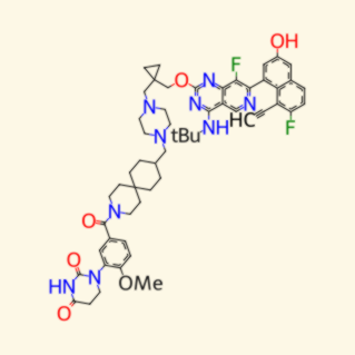 C#Cc1c(F)ccc2cc(O)cc(-c3ncc4c(NC(C)(C)C)nc(OCC5(CN6CCN(CC7CCC8(CC7)CCN(C(=O)c7ccc(OC)c(N9CCC(=O)NC9=O)c7)CC8)CC6)CC5)nc4c3F)c12